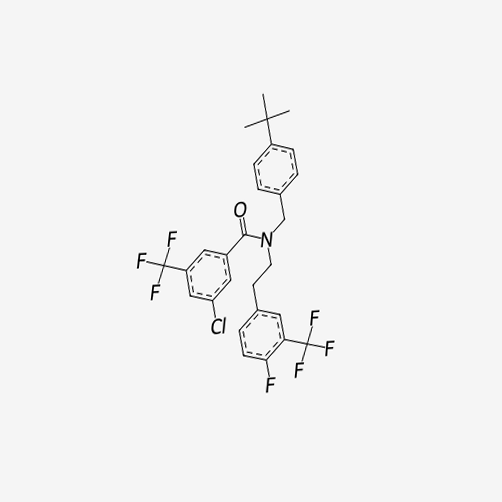 CC(C)(C)c1ccc(CN(CCc2ccc(F)c(C(F)(F)F)c2)C(=O)c2cc(Cl)cc(C(F)(F)F)c2)cc1